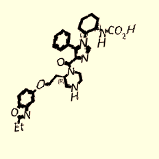 CCc1nc2cc(OCC[C@@H]3CNCCN3C(=O)c3ncn([C@H]4CCCC[C@@H]4NC(=O)O)c3-c3ccccc3)ccc2o1